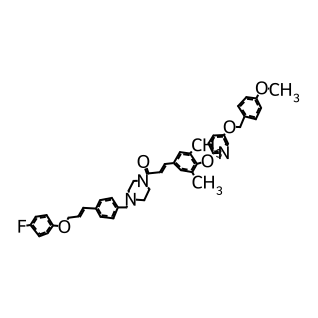 COc1ccc(COc2ccc(Oc3c(C)cc(/C=C/C(=O)N4CCN(Cc5ccc(/C=C/COc6ccc(F)cc6)cc5)CC4)cc3C)nc2)cc1